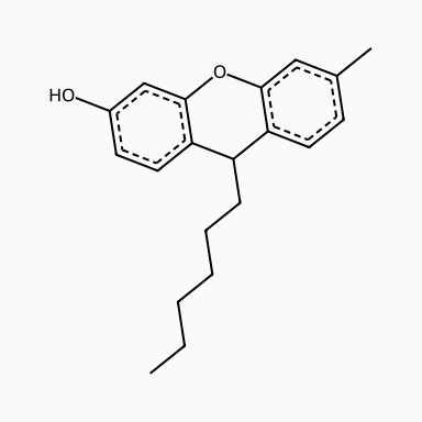 CCCCCCC1c2ccc(C)cc2Oc2cc(O)ccc21